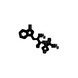 NC(=O)C1(NC(=O)C(N)Cc2c[nH]c3ccccc23)COC1